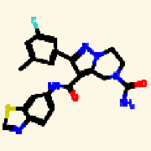 Cc1cc(F)cc(-c2nn3c(c2C(=O)Nc2ccc4ncsc4c2)CN(C(N)=O)CC3)c1